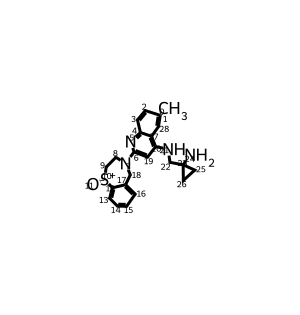 Cc1ccc2nc(N3CC[S+]([O-])c4ccccc4C3)cc(NCC3(N)CC3)c2c1